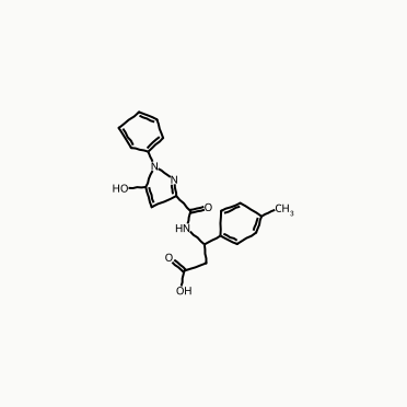 Cc1ccc(C(CC(=O)O)NC(=O)c2cc(O)n(-c3ccccc3)n2)cc1